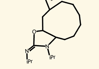 BC1CCCCCCC2C(C1)O/C(=N/C(C)C)N2C(C)C